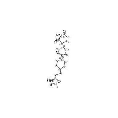 CNC(=O)CCC1CCN(c2ccc(C3CCC(=O)NC3=O)cn2)CC1